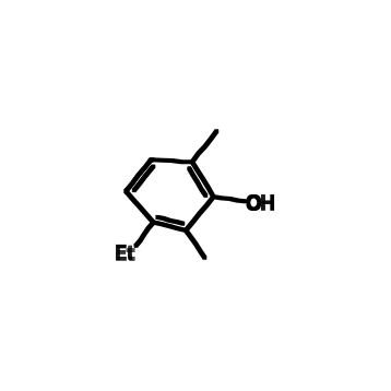 CCc1ccc(C)c(O)c1C